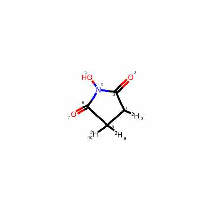 [2H]C1C(=O)N(O)C(=O)C1([2H])[2H]